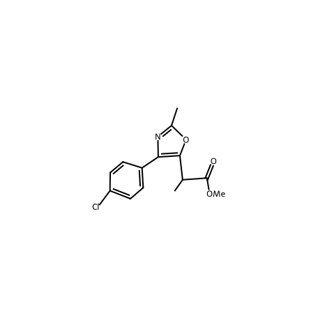 COC(=O)C(C)c1oc(C)nc1-c1ccc(Cl)cc1